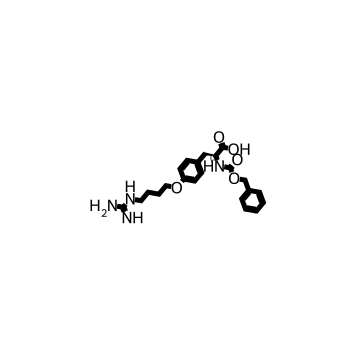 N=C(N)NCCCCOc1ccc(C[C@H](NC(=O)OCc2ccccc2)C(=O)O)cc1